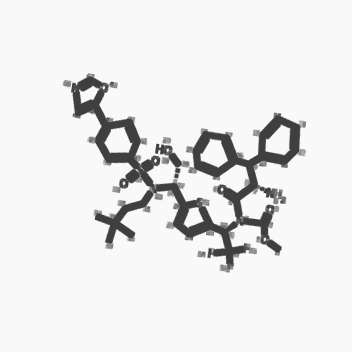 COC(=O)N(C(=O)[C@@H](N)C(c1ccccc1)c1ccccc1)[C@H](c1ccc([C@@H](CO)N(CCC(C)(C)C)S(=O)(=O)c2ccc(-c3cnco3)cc2)s1)C(F)(F)F